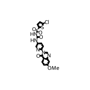 COc1ccc2c(=O)n(-c3ccc(NC(=O)NS(=O)(=O)c4ccc(Cl)s4)cn3)cnc2c1